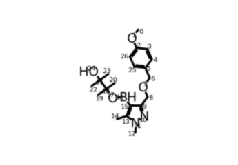 COc1ccc(COCc2nn(C)c(C)c2BOC(C)(C)C(C)(C)O)cc1